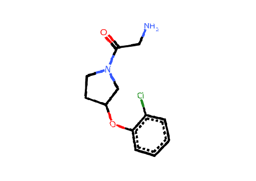 NCC(=O)N1CCC(Oc2ccccc2Cl)C1